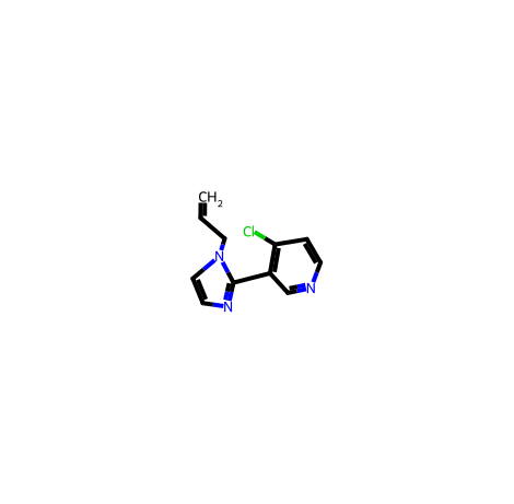 C=CCn1ccnc1-c1cnccc1Cl